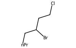 CCCCC(Br)CCCl